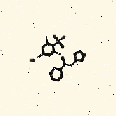 Br.Cc1cc(C)c(S(=O)(=O)[O-])c(C)c1.O=C(C[n+]1ccsc1)c1ccccc1